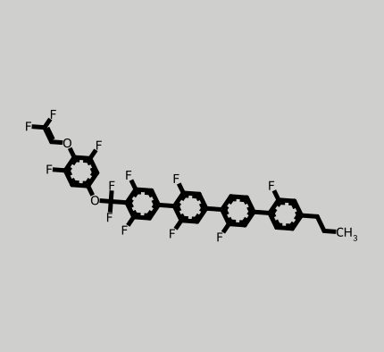 CCCc1ccc(-c2ccc(-c3cc(F)c(-c4cc(F)c(C(F)(F)Oc5cc(F)c(OC=C(F)F)c(F)c5)c(F)c4)c(F)c3)c(F)c2)c(F)c1